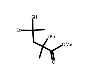 CCC(C)(S)CC(C)(C(=O)OC)C(C)(C)C